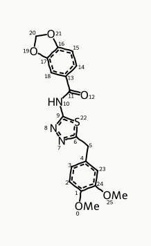 COc1ccc(Cc2nnc(NC(=O)c3ccc4c(c3)OCO4)s2)cc1OC